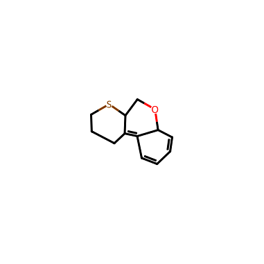 C1=CC2=C3CCCSC3COC2C=C1